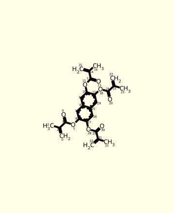 C=C(C)C(=O)Oc1cc2cc(OC(=O)C(=C)C)c(OC(=O)C(=C)C)cc2cc1OC(=O)C(=C)C